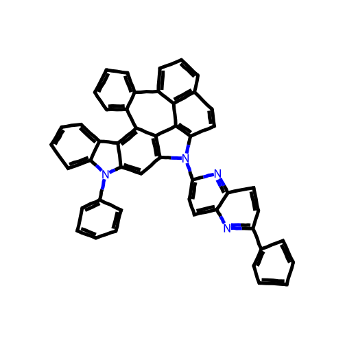 c1ccc(-c2ccc3nc(-n4c5cc6c(c7c5c5c8c(cccc8ccc54)-c4ccccc4-7)c4ccccc4n6-c4ccccc4)ccc3n2)cc1